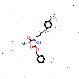 COC(=O)[C@H](CCCNc1ccc([N+](=O)[O-])cc1)NC(=O)OCc1ccccc1